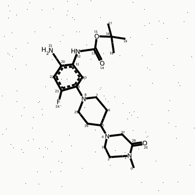 CN1CCN(C2CCN(c3cc(NC(=O)OC(C)(C)C)c(N)cc3F)CC2)CC1=O